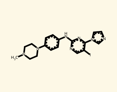 CN1CCN(c2ccc(Nc3ncc(I)c(-n4ccnc4)n3)cc2)CC1